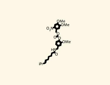 COc1cc(COC(=O)Oc2ccc(CNC(=O)CCCC/C=C/C(C)C)cc2OC)c([N+](=O)[O-])cc1OC